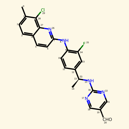 Cc1ccc2ccc(Nc3ccc([C@H](C)Nc4ncc(C=O)cn4)cc3F)nc2c1Cl